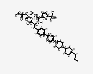 CCCC1CCC(C2CCN(c3cnc(-c4ccc(CC(NC(=O)c5ccc(C(C)(C)C)s5)C(=O)NS(=O)(=O)CC(=O)OC)cc4)nc3)CC2)CC1